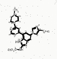 CCOC(=O)Nc1nc2cc(-n3cnc(C=O)c3)cc(-c3cc(N4CCN(C)CC4)ncn3)c2[nH]1